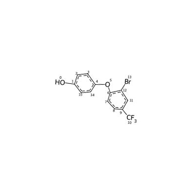 Oc1ccc(Oc2ccc(C(F)(F)F)cc2Br)cc1